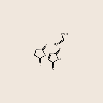 C=CC(=O)O.O=C1C=CC(=O)N1.O=C1CCC(=O)N1